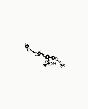 C=C(C)C(=O)OCCCOc1ccc(-c2ccc(CCCCc3ccc(OCCCCCOc4ccncc4)cc3)cc2COC(O)C(=C)C)cc1